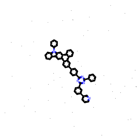 c1ccc(-c2nc(-c3ccc(-c4ccc5c(c4)c4ccccc4c4cc6c(cc54)c4ccccc4n6-c4ccccc4)cc3)nc(-c3cccc(-c4cccnc4)c3)n2)cc1